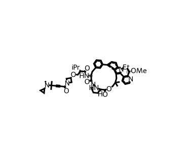 CCn1c(-c2cccnc2[C@H](C)OC)c2c3cc(ccc31)-c1cccc(c1)C[C@H](NC(=O)[C@@H](COC1CN(C(=O)C#CC(C)(C)N(C)C3CC3)C1)C(C)C)C(=O)N1CCC[C@H](N1)C(=O)OCC(C)(C)C2